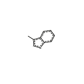 Cn1[c]nc2cc[c]cc21